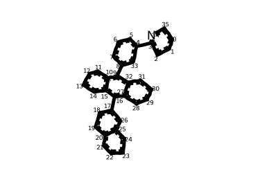 c1ccc(-c2cccc(-c3c4ccccc4c(-c4ccc5ccccc5c4)c4ccccc34)c2)nc1